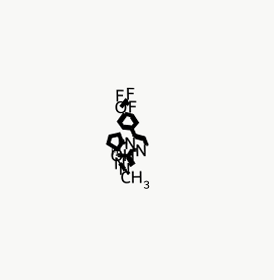 Cn1cc(C2N=CC=C(c3ccc(OC(F)(F)F)cc3)N2[C@@H]2CCC[C@H]2O)cn1